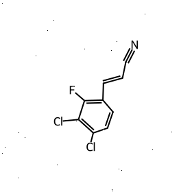 N#CC=Cc1ccc(Cl)c(Cl)c1F